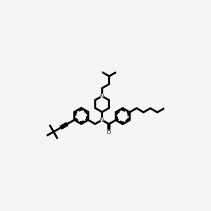 CCCCCc1ccc(C(=O)N(Cc2cccc(C#CC(C)(C)C)c2)C2CCN(CCC(C)C)CC2)cc1